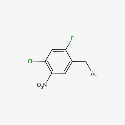 CC(=O)Cc1cc([N+](=O)[O-])c(Cl)cc1F